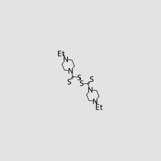 CCN1CCN(C(=S)SSC(=S)N2CCN(CC)CC2)CC1